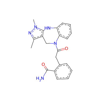 Cc1nn(C)c2c1CN(C(=O)Cc1ccccc1C(N)=O)c1ccccc1N2